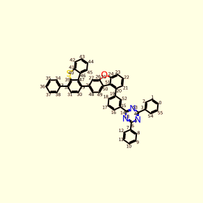 c1ccc(-c2nc(-c3ccccc3)nc(-c3cccc(-c4cccc5oc6cc(-c7ccc(-c8ccccc8)c8sc9ccccc9c78)ccc6c45)c3)n2)cc1